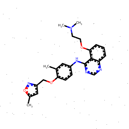 Cc1cc(COc2ccc(Nc3ncnc4cccc(OCCN(C)C)c34)cc2C)no1